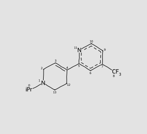 CC(C)N1CC=C(c2cc(C(F)(F)F)ccn2)CC1